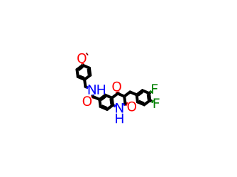 COc1ccc(CNC(=O)c2ccc3c(c2)C(=O)C(Cc2ccc(F)c(F)c2)C(=O)N3)cc1